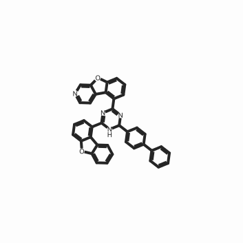 c1ccc(-c2ccc(C3N=C(c4cccc5oc6cnccc6c45)N=C(c4cccc5oc6ccccc6c45)N3)cc2)cc1